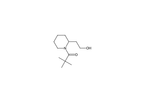 CC(C)(C)C(=O)N1CCCCC1CCO